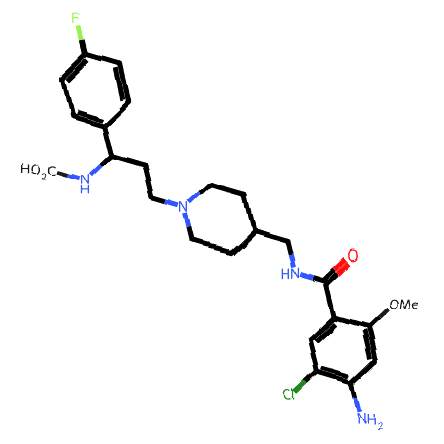 COc1cc(N)c(Cl)cc1C(=O)NCC1CCN(CCC(NC(=O)O)c2ccc(F)cc2)CC1